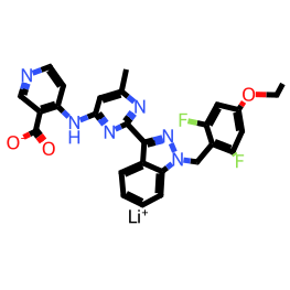 CCOc1cc(F)c(Cn2nc(-c3nc(C)cc(Nc4ccncc4C(=O)[O-])n3)c3ccccc32)c(F)c1.[Li+]